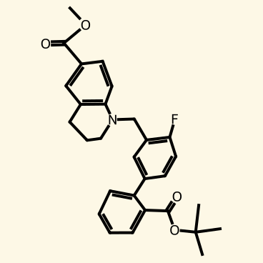 COC(=O)c1ccc2c(c1)CCCN2Cc1cc(-c2ccccc2C(=O)OC(C)(C)C)ccc1F